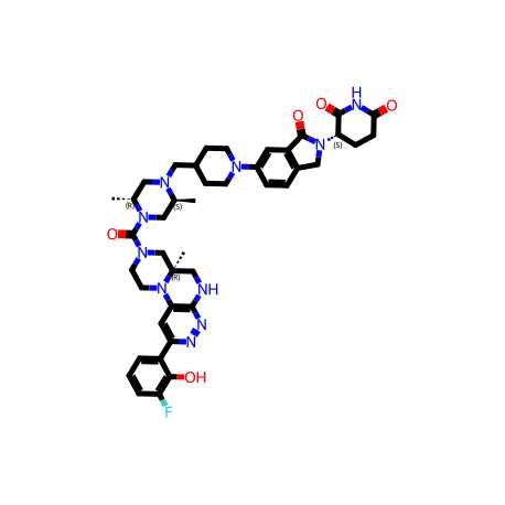 C[C@@H]1CN(CC2CCN(c3ccc4c(c3)C(=O)N([C@H]3CCC(=O)NC3=O)C4)CC2)[C@@H](C)CN1C(=O)N1CCN2c3cc(-c4cccc(F)c4O)nnc3NC[C@]2(C)C1